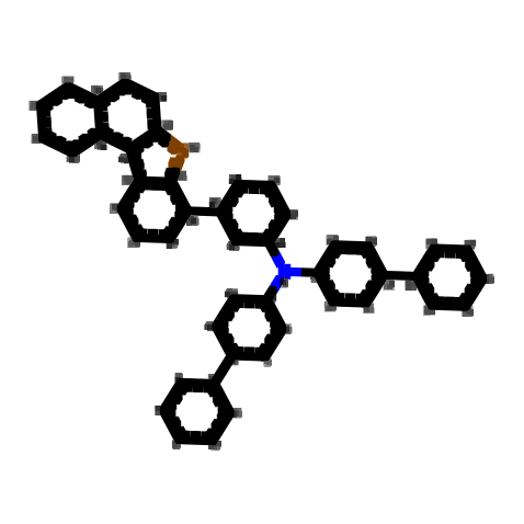 c1ccc(-c2ccc(N(c3ccc(-c4ccccc4)cc3)c3cccc(-c4cccc5c4sc4ccc6ccccc6c45)c3)cc2)cc1